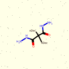 CCCCCCCCCCC(CCCCCCCCCC)(C(=O)NN)C(=O)NN